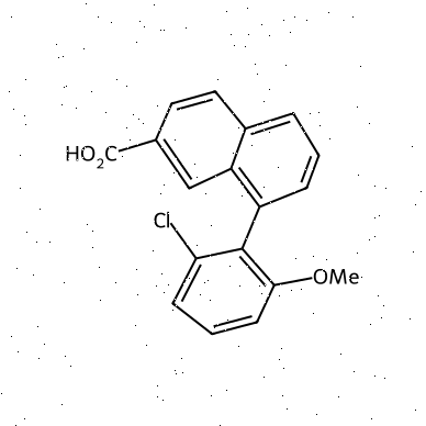 COc1cccc(Cl)c1-c1cccc2ccc(C(=O)O)cc12